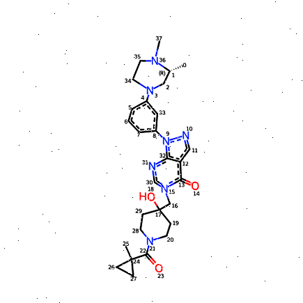 C[C@@H]1CN(c2cccc(-n3ncc4c(=O)n(CC5(O)CCN(C(=O)C6(C)CC6)CC5)cnc43)c2)CCN1C